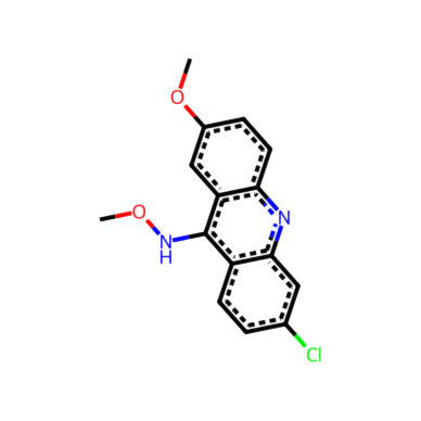 CONc1c2ccc(Cl)cc2nc2ccc(OC)cc12